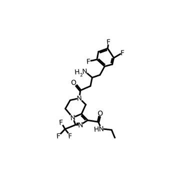 CCNC(=O)c1nc(C(F)(F)F)n2c1CN(C(=O)CC(N)Cc1cc(F)c(F)cc1F)CC2